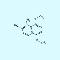 COC(=O)c1ccc(O)c(N)c1C(=O)OC